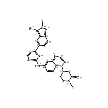 CC(C)c1c2cc(-c3ccnc(Nc4ccc5c(N6CCN(C)C(=O)C6)ncnc5c4)n3)ccc2nn1C